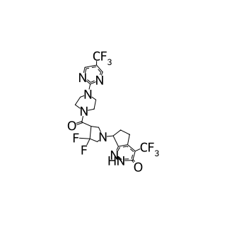 O=C(C1CN(C2CCc3c2n[nH]c(=O)c3C(F)(F)F)CC1(F)F)N1CCN(c2ncc(C(F)(F)F)cn2)CC1